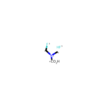 CN(CF)C(=O)O.F